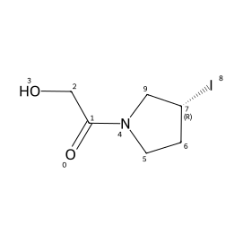 O=C(CO)N1CC[C@@H](I)C1